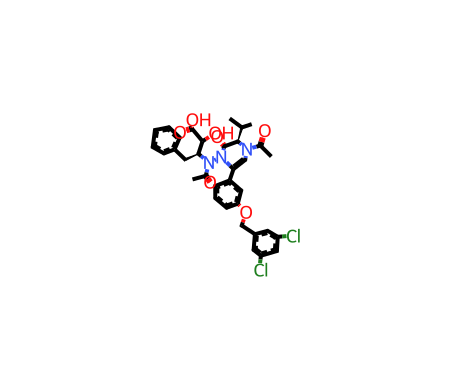 CC(=O)N1C=C(c2cccc(OCc3cc(Cl)cc(Cl)c3)c2)N(N(C(C)=O)[C@@H](Cc2ccccc2)C(O)C(=O)O)C(=O)[C@H]1C(C)C